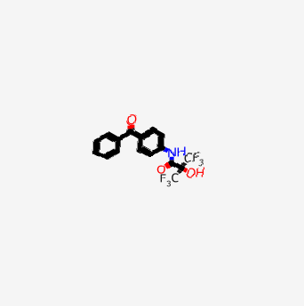 O=C(c1ccccc1)c1ccc(NC(=O)C(O)(C(F)(F)F)C(F)(F)F)cc1